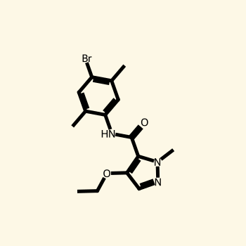 CCOc1cnn(C)c1C(=O)Nc1cc(C)c(Br)cc1C